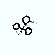 NC(N)(c1ccccc1)c1ccccc1.NC1CCCCC1